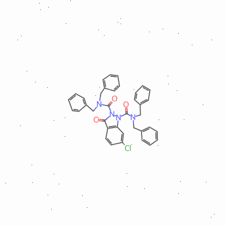 O=C(N(Cc1ccccc1)Cc1ccccc1)n1c(=O)c2ccc(Cl)cc2n1C(=O)N(Cc1ccccc1)Cc1ccccc1